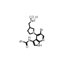 CC(C)C(=O)Nc1c[nH]c2ncc(Br)c(N3CCC(CNC(=O)O)C3)c12